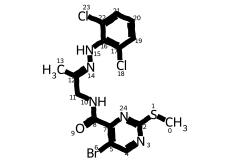 CSc1ncc(Br)c(C(=O)NCC(C)=NNc2c(Cl)cccc2Cl)n1